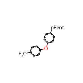 [CH2]CCCCc1ccc(Oc2ccc(C(F)(F)F)cc2)cc1